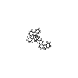 c1ccc(-c2nc(-c3ccc4c(ccc5sc6ccccc6c54)c3)nc(-c3ccccc3-c3ccccc3)n2)cc1